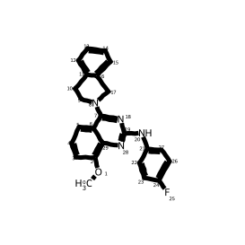 COc1cccc2c(N3CCc4ccccc4C3)nc(Nc3ccc(F)cc3)nc12